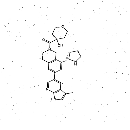 Cc1c[nH]c2ncc(-c3cc4c(c([C@@H]5CCCN5)c3)CN(C(=O)C3(O)CCOCC3)CC4)cc12